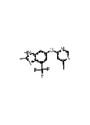 Cc1nc2c(C(F)(F)F)cc(Oc3cc(I)ncn3)cc2[nH]1